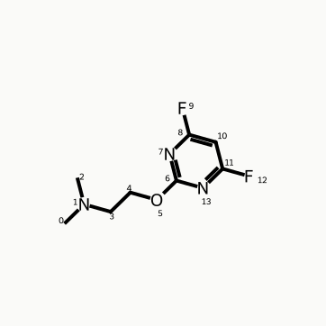 CN(C)CCOc1nc(F)cc(F)n1